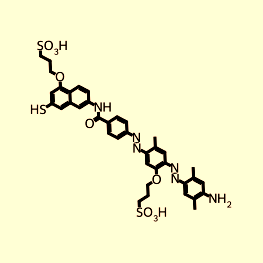 Cc1cc(N=Nc2cc(C)c(N=Nc3ccc(C(=O)Nc4ccc5c(OCCCS(=O)(=O)O)cc(S)cc5c4)cc3)cc2OCCCS(=O)(=O)O)c(C)cc1N